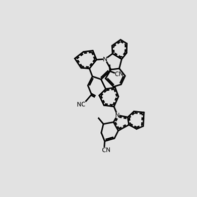 C=C(C#N)/C=C(\C(=C(/C)C#N)c1ccc(-n2c3c(c4ccccc42)C=C(C#N)CC3C)cc1)c1ccccc1N1c2ccccc2C2C=CC=CC21